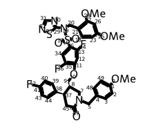 COc1ccc(CN2C[C@@H](COc3cc(F)c(S(=O)(=O)N(Cc4ccc(OC)cc4OC)c4ncns4)cc3F)[C@H](c3ccc(F)cc3)CC2=O)cc1